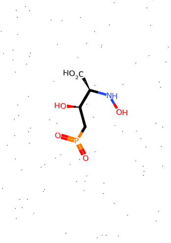 O=C(O)[C@@H](NO)[C@H](O)CP(=O)=O